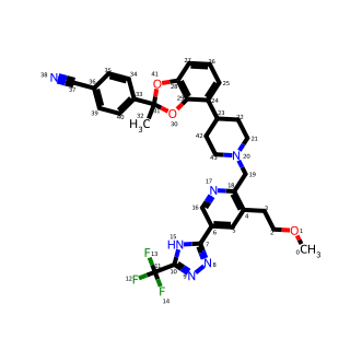 COCCc1cc(-c2nnc(C(F)(F)F)[nH]2)cnc1CN1CCC(c2cccc3c2OC(C)(c2ccc(C#N)cc2)O3)CC1